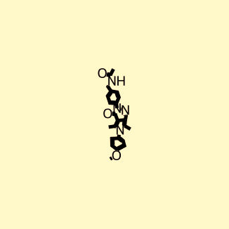 COc1ccc(-n2c(C)c3cnn(-c4ccc(CNC(C)=O)cc4)c(=O)c3c2C)cc1